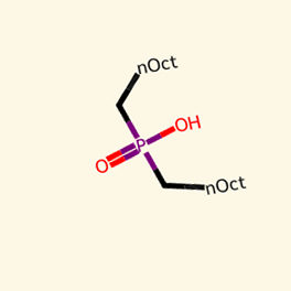 CCCCCCCCCP(=O)(O)CCCCCCCCC